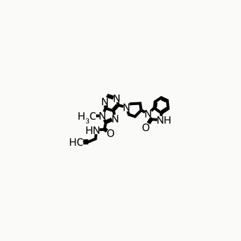 C#CCNC(=O)c1nc2c(N3CCC(n4c(=O)[nH]c5ccccc54)CC3)ncnc2n1C